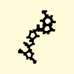 N#CC1C[C@H](F)CN1C(=O)CN1CC[C@@H](Nc2ccnc3ccc(Cl)cc23)C1